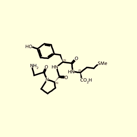 CSCC[C@H](NC(=O)[C@H](Cc1ccc(O)cc1)NC(=O)[C@@H]1CCCN1C(=O)CN)C(=O)O